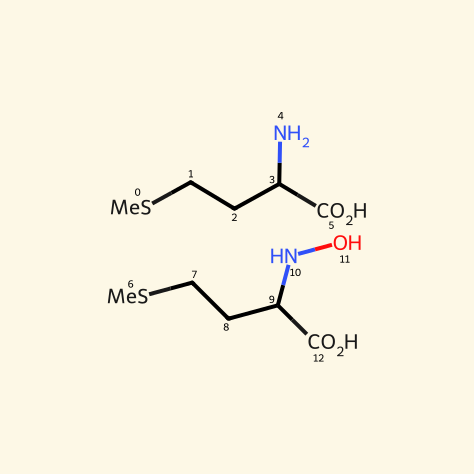 CSCCC(N)C(=O)O.CSCCC(NO)C(=O)O